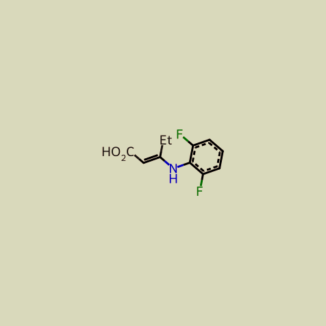 CC/C(=C\C(=O)O)Nc1c(F)cccc1F